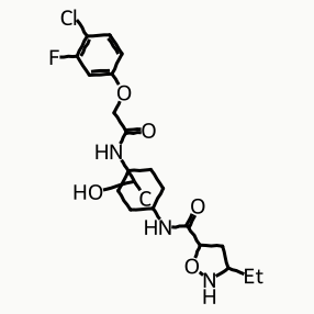 CCC1CC(C(=O)NC23CCC(NC(=O)COc4ccc(Cl)c(F)c4)(CC2)C(O)C3)ON1